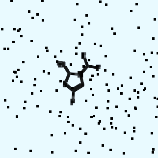 C[CH]C1SC(F)=CN1C(F)F